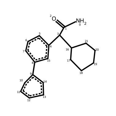 NC(=O)C(c1cccc(-c2ccccc2)c1)C1CCCCC1